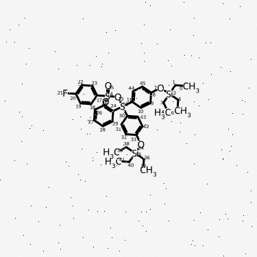 CC[Si](CC)(CC)Oc1ccc(S(OS(=O)(=O)c2ccc(F)cc2)(c2ccccc2)c2ccc(O[Si](CC)(CC)CC)cc2)cc1